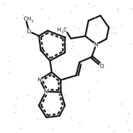 CCC1CCCCN1C(=O)/C=C/c1c(-c2cccc(OC)c2)nn2ccccc12